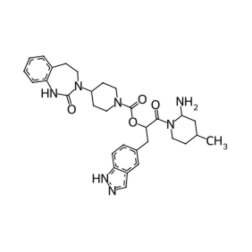 CC1CCN(C(=O)C(Cc2ccc3[nH]ncc3c2)OC(=O)N2CCC(N3CCc4ccccc4NC3=O)CC2)C(N)C1